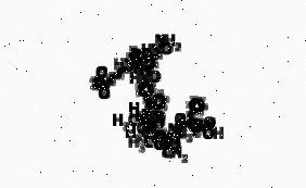 CCC(C)C(NC(=O)[C@H]1CCCC[N+]1(C)Cc1ccc(NC(=O)C(CCCNC(N)=O)NC(=O)C2(C(=O)NCCCCCN3C(=O)C=CC3=O)CCC2)cc1)C(=O)N(C)C(CC(OC(C)=O)c1nc(C(=O)NC(Cc2ccccc2)CC(C)C(=O)O)cs1)C(C)C